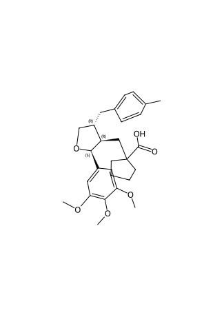 COc1cc([C@H]2OC[C@H](Cc3ccc(C)cc3)[C@H]2CC2(C(=O)O)CCCC2)cc(OC)c1OC